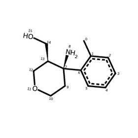 Cc1ccccc1[C@]1(N)CCOC[C@H]1CO